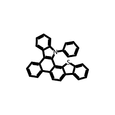 c1ccc(-n2c3ccccc3c3c4ccccc4c4ccc5c6ccccc6sc5c4c32)cc1